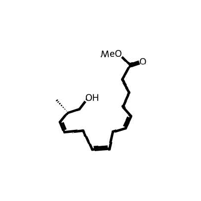 COC(=O)CCC/C=C\C/C=C\C/C=C\[C@H](C)CO